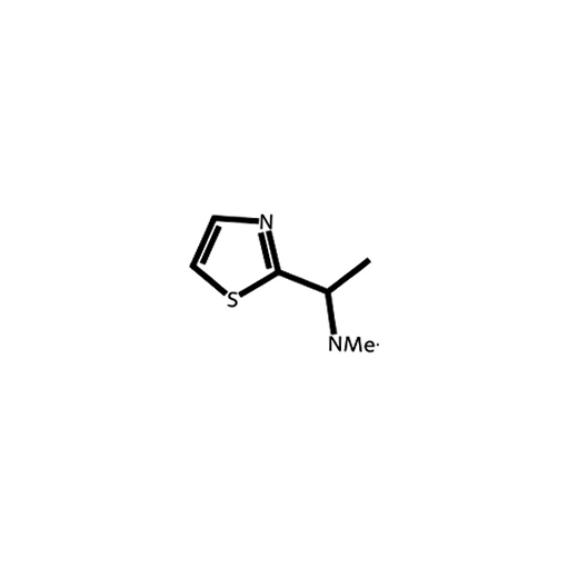 C[N]C(C)c1nccs1